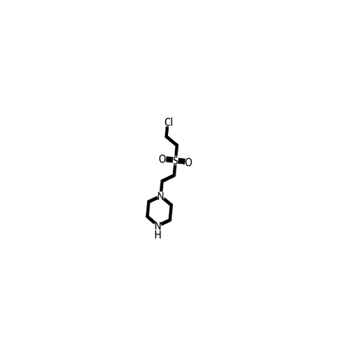 O=S(=O)(CCCl)CCN1CCNCC1